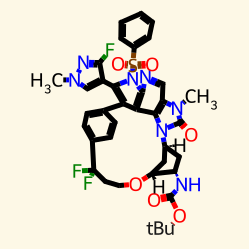 Cn1cc(-c2c3c4c(ncc5c4n(c(=O)n5C)[C@H]4C[C@H](NC(=O)OC(C)(C)C)[C@@H](C4)OCCC(F)(F)c4ccc-3cc4)n2S(=O)(=O)c2ccccc2)c(F)n1